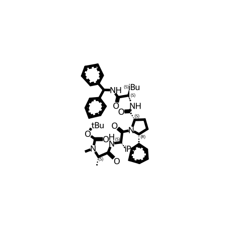 CC[C@H](C)[C@H](NC(=O)[C@@H]1CC[C@H](c2ccccc2)N1C(=O)[C@@H](NC(=O)[C@H](C)N(C)C(=O)OC(C)(C)C)C(C)C)C(=O)NC(c1ccccc1)c1ccccc1